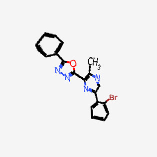 Cc1ncc(-c2ccccc2Br)nc1-c1nnc(-c2ccccc2)o1